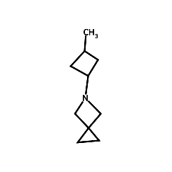 CC1CC(N2CC3(CC3)C2)C1